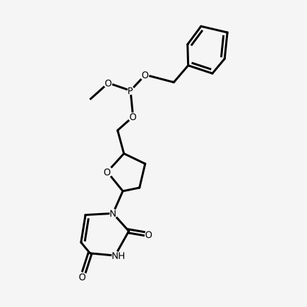 COP(OCc1ccccc1)OCC1CCC(n2ccc(=O)[nH]c2=O)O1